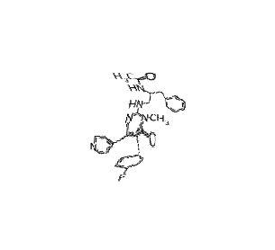 CC(=O)NC(CNc1nc(-c2ccncc2)c(-c2ccc(F)cc2)c(=O)n1C)Cc1ccccc1